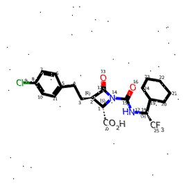 O=C(O)[C@@H]1[C@@H](CCc2ccc(Cl)cc2)C(=O)N1C(=O)N[C@@H](C1CCCCC1)C(F)(F)F